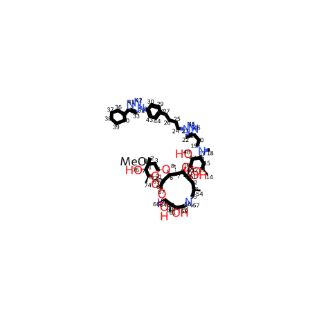 CO[C@]1(C)C[C@H](O[C@H]2[C@H](C)[C@@H](O[C@@H]3O[C@H](C)C[C@H](N(C)CCc4cn(CCCCc5ccc(-n6cc(C7CCCCC7)nn6)cc5)nn4)[C@H]3O)[C@](C)(O)C[C@@H](C)CN(C)[C@H](C)[C@@H](O)[C@](C)(O)[C@@H](I)OC(=O)[C@@H]2C)O[C@@H](C)[C@@H]1O